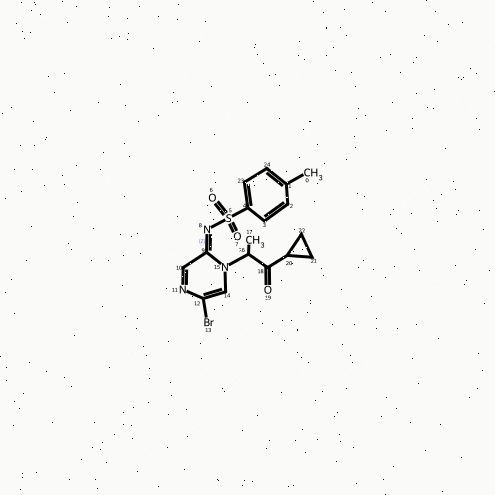 Cc1ccc(S(=O)(=O)/N=c2/cnc(Br)cn2C(C)C(=O)C2CC2)cc1